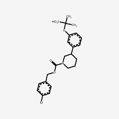 CCc1ccc(COC(=O)N2CCCC(c3cccc(OC(C)(C)C(=O)O)c3)C2)cc1